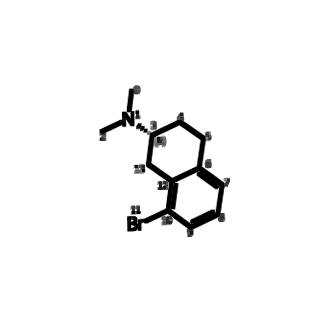 CN(C)[C@@H]1CCc2cccc(Br)c2C1